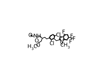 COC(=O)CC(CCNC=O)CCc1ccc(Cl)c(Cc2cc3c(F)cc(C(F)(F)F)cc3n2C)c1Cl